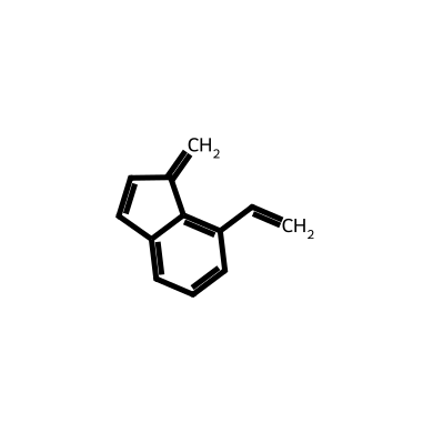 C=Cc1cccc2c1C(=C)C=C2